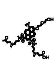 CC(=O)CCN(C)CCCN(C)S(=O)(=O)c1cc(S(=O)(=O)N(C)CCCN(C)CCC(=O)O)c2ccc3c(OCCOCCO)cc(N(C)C)c4ccc1c2c34